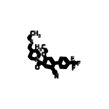 CCOc1cc(-c2ccc(C(F)(F)F)cc2)c(C#N)cc1C(=O)N1CCC(CSCC)CC1